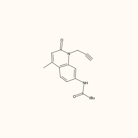 C#CCn1c(=O)cc(C)c2ccc(NC(=O)C(C)(C)C)cc21